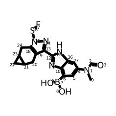 CN(C=O)c1cc(B(O)O)c2nc(-c3nn(SF)c4c3CC3CC3C4)[nH]c2c1